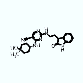 C[C@]1(O)CC[C@H](Nc2nc(NCCC3C(=O)Nc4ccccc43)ncc2C#N)CC1